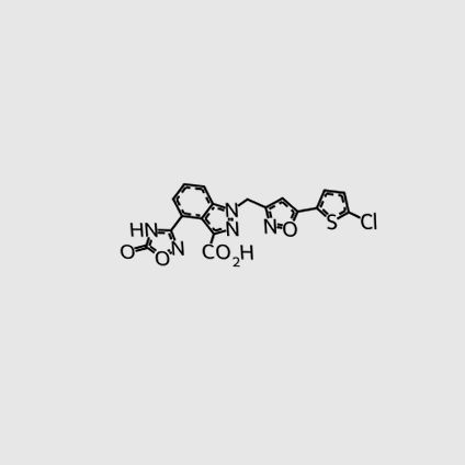 O=C(O)c1nn(Cc2cc(-c3ccc(Cl)s3)on2)c2cccc(-c3noc(=O)[nH]3)c12